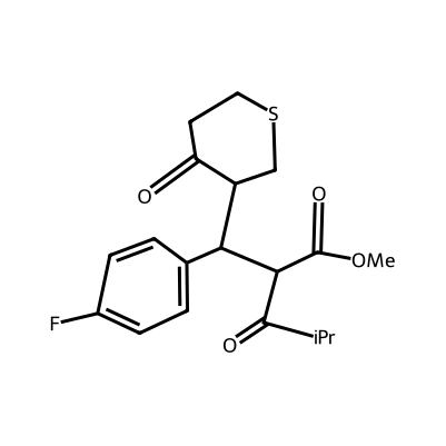 COC(=O)C(C(=O)C(C)C)C(c1ccc(F)cc1)C1CSCCC1=O